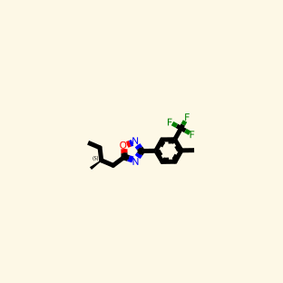 CC[C@H](C)Cc1nc(-c2ccc(C)c(C(F)(F)F)c2)no1